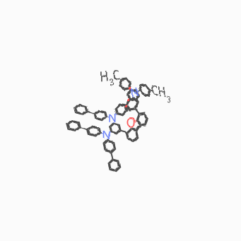 Cc1ccc(N(c2ccc(C)cc2)c2cccc(-c3cccc4c3oc3c(-c5cc(N(c6ccc(-c7ccccc7)cc6)c6ccc(-c7ccccc7)cc6)cc(N(c6ccc(-c7ccccc7)cc6)c6ccc(-c7ccccc7)cc6)c5)cccc34)c2)cc1